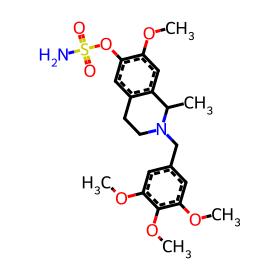 COc1cc2c(cc1OS(N)(=O)=O)CCN(Cc1cc(OC)c(OC)c(OC)c1)C2C